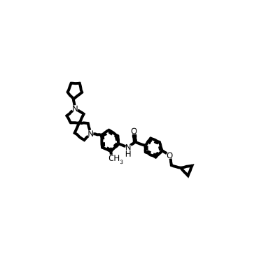 Cc1cc(N2CCC3(CCN(C4CCCC4)C3)C2)ccc1NC(=O)c1ccc(OCC2CC2)cc1